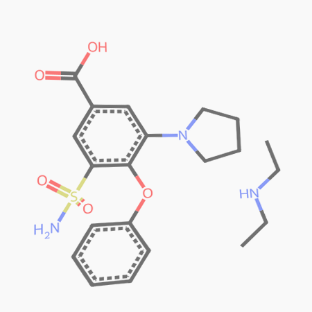 CCNCC.NS(=O)(=O)c1cc(C(=O)O)cc(N2CCCC2)c1Oc1ccccc1